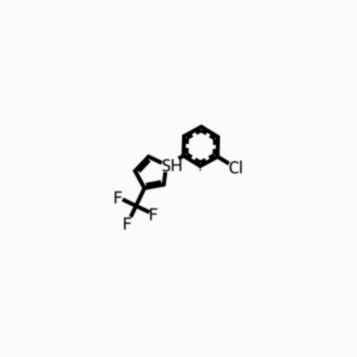 FC(F)(F)C1=C[SH](c2[c]c(Cl)ccc2)C=C1